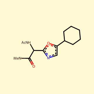 CNC(=O)C(NC(C)=O)c1ncc(C2CCCCC2)o1